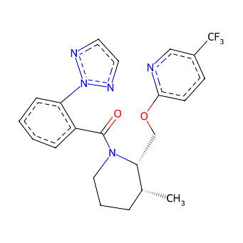 C[C@@H]1CCCN(C(=O)c2ccccc2-n2nccn2)[C@@H]1COc1ccc(C(F)(F)F)cn1